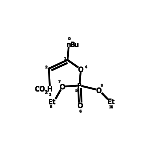 CCCCC(=CC(=O)O)OP(=O)(OCC)OCC